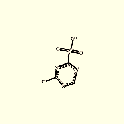 O=S(=O)(O)c1ncnc(Cl)n1